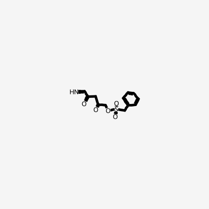 N=CC(=O)CC(=O)COS(=O)(=O)Cc1ccccc1